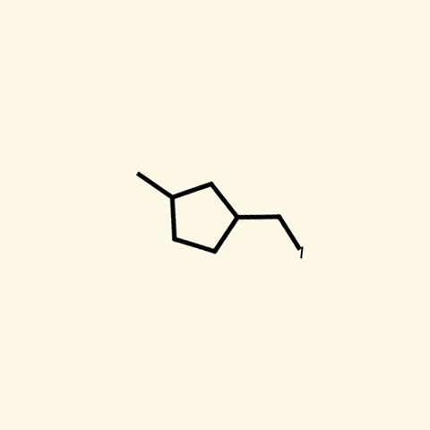 CC1CCC(CI)C1